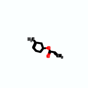 C=CC(=O)OC1CCC=C(C)C1